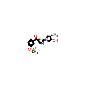 C[C@H]1CN(c2ncc(C(=O)c3cccc(S(C)(=O)=O)c3)s2)C[C@@H]1O